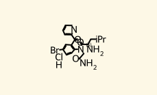 CC(C)C[C@H](N)C(=O)N(CC(N)=O)c1ccc(Br)cc1C(=O)c1ccccn1.Cl